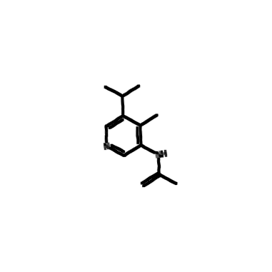 C=C(C)Nc1cncc(C(C)C)c1C